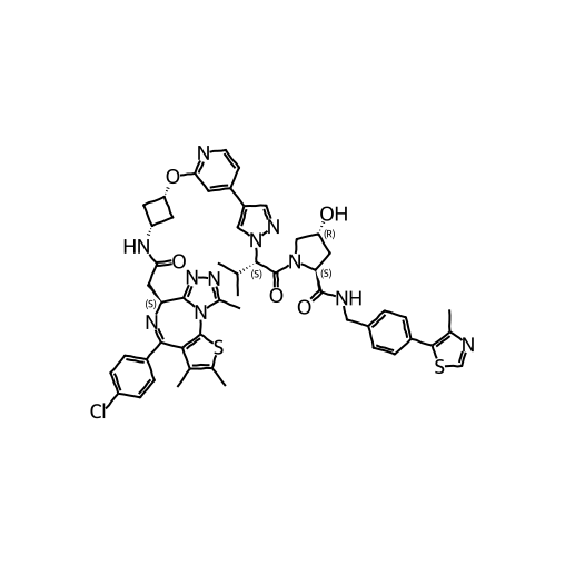 Cc1ncsc1-c1ccc(CNC(=O)[C@@H]2C[C@@H](O)CN2C(=O)[C@H](C(C)C)n2cc(-c3ccnc(O[C@H]4C[C@@H](NC(=O)C[C@@H]5N=C(c6ccc(Cl)cc6)c6c(sc(C)c6C)-n6c(C)nnc65)C4)c3)cn2)cc1